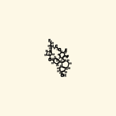 CCOc1ccc(C2=C(c3ccc(O[C@H]4CCN(CCCF)C4)cc3)c3ccc(O)cc3CCC2)c(F)c1F